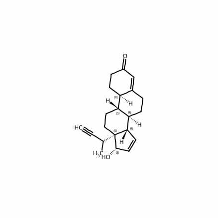 C#CC(C)[C@]12CC[C@H]3[C@@H](CCC4=CC(=O)CC[C@@H]43)[C@@H]1C=C[C@@H]2O